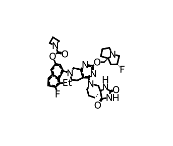 CCc1c(F)ccc2cc(OC(=O)N3CCC3)cc(N3CCc4c(nc(OC[C@@]56CCCN5C[C@H](F)C6)nc4N4CCC[C@]5(C4)NC(=O)NC5=O)C3)c12